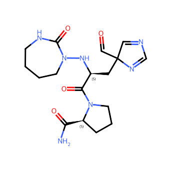 NC(=O)[C@@H]1CCCN1C(=O)[C@H](CC1(C=O)C=NC=N1)NN1CCCCNC1=O